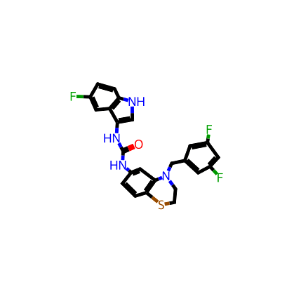 O=C(Nc1ccc2c(c1)N(Cc1cc(F)cc(F)c1)CCS2)Nc1c[nH]c2ccc(F)cc12